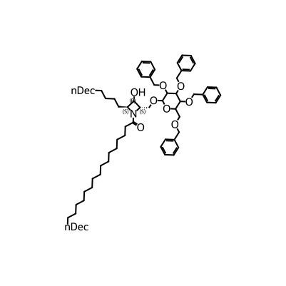 CCCCCCCCCCCCCCCCCCCCCCCCCC(=O)N1[C@@H](CCCCCCCCCCCCCC)[C@@H](O)[C@@H]1COC1OC(COCc2ccccc2)C(OCc2ccccc2)C(OCc2ccccc2)C1OCc1ccccc1